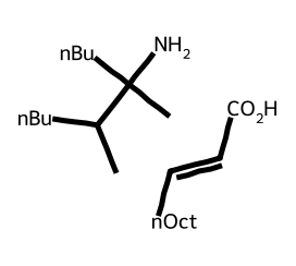 CCCCC(C)C(C)(N)CCCC.CCCCCCCCC=CC(=O)O